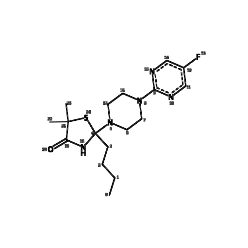 CCCCC1(N2CCN(c3ncc(F)cn3)CC2)NC(=O)C(C)(C)S1